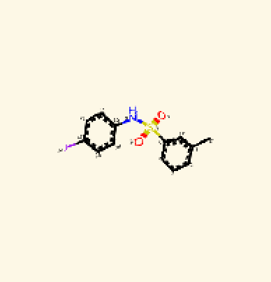 Cc1cccc(S(=O)(=O)Nc2ccc(I)cc2)c1